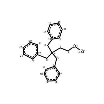 [Zr][O]CCC(Cc1ccccc1)(Cc1ccccc1)Cc1ccccc1